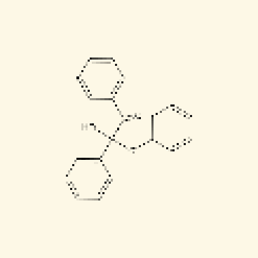 O=C(c1ccccc1)C(O)(Oc1ccccc1)c1ccccc1